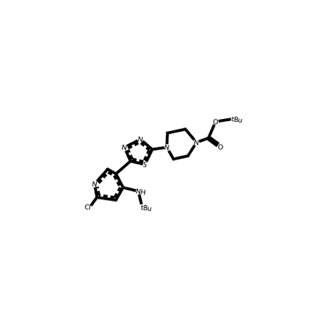 CC(C)(C)Nc1cc(Cl)ncc1-c1nnc(N2CCN(C(=O)OC(C)(C)C)CC2)s1